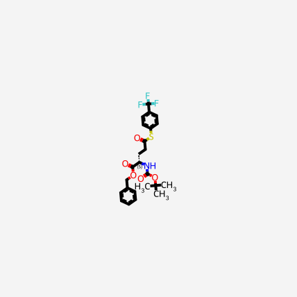 CC(C)(C)OC(=O)N[C@@H](CCC(=O)Sc1ccc(C(F)(F)F)cc1)C(=O)OCc1ccccc1